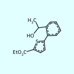 CCOC(=O)c1ccc(-c2ccccc2C(C)O)s1